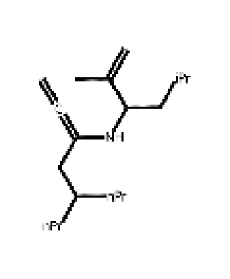 C=C=C(CC(CCC)CCC)NC(CC(C)C)C(=C)C